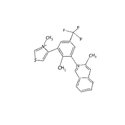 Cc1c(-c2csc[n+]2C)cc(C(F)(F)F)cc1-[n+]1cc2ccccc2cc1C